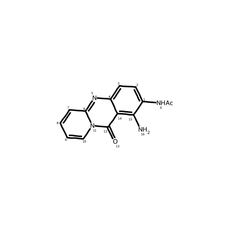 CC(=O)Nc1ccc2nc3ccccn3c(=O)c2c1N